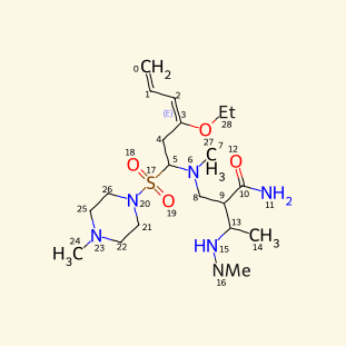 C=C/C=C(\CC(N(C)CC(C(N)=O)C(C)NNC)S(=O)(=O)N1CCN(C)CC1)OCC